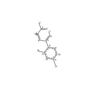 C=C(C)/N=C\C(=C/C)c1ccc(C)cc1C